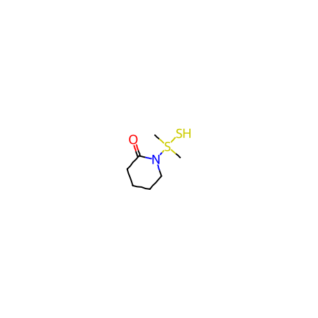 CS(C)(S)N1CCCCC1=O